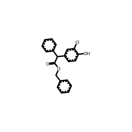 O=C(OCc1ccccc1)C(c1ccccc1)c1ccc(O)c(Cl)c1